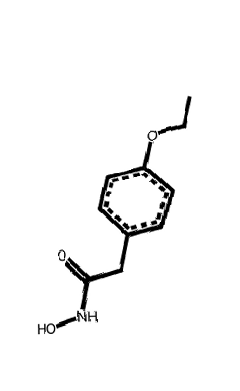 CCOc1ccc(CC(=O)NO)cc1